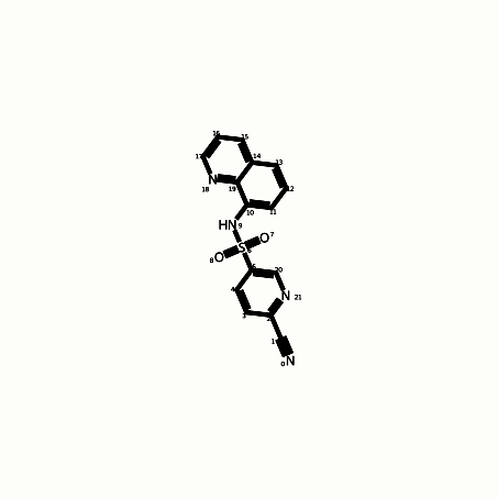 N#Cc1ccc(S(=O)(=O)Nc2cccc3cccnc23)cn1